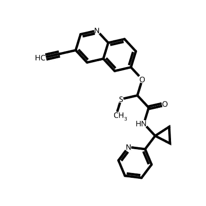 C#Cc1cnc2ccc(OC(SC)C(=O)NC3(c4ccccn4)CC3)cc2c1